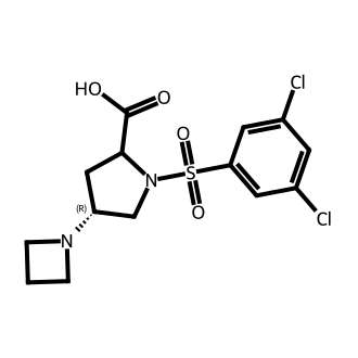 O=C(O)C1C[C@@H](N2CCC2)CN1S(=O)(=O)c1cc(Cl)cc(Cl)c1